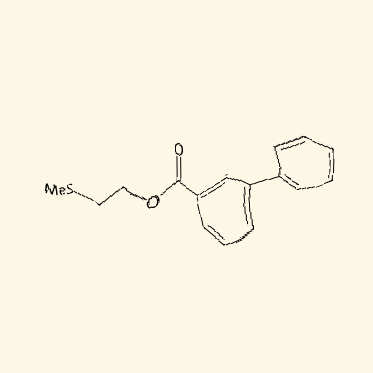 CSCCOC(=O)c1[c]c(-c2ccccc2)ccc1